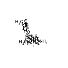 CN1Cc2ccc(OC[C@H]3C[C@@H](n4ccc5c(N)ncnc54)[C@@H]4OC(C)(C)O[C@H]34)cc2OC1=O